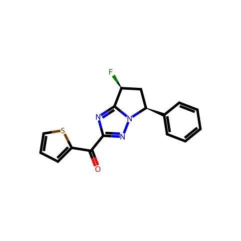 O=C(c1nc2n(n1)[C@H](c1ccccc1)C[C@@H]2F)c1cccs1